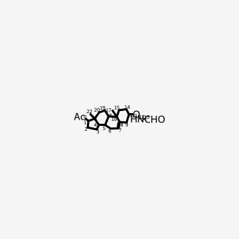 CC(=O)C1CCC2C3CC=C4CC(ONC=O)CCC4(C)C3CCC12C